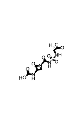 CC(=O)CNS(=O)(=O)NC(=O)N1CC(NC(=O)O)C1=O